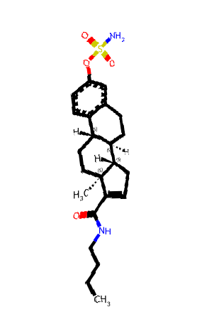 CCCCNC(=O)C1=CC[C@H]2[C@@H]3CCc4cc(OS(N)(=O)=O)ccc4[C@H]3CC[C@]12C